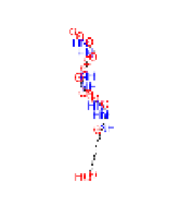 CCOCCOCCNC(=O)CC[C@@H](C)NC(=O)COCCOCCNC(=O)CC[C@@H](C)NC(=O)COCCOCCNC(=O)CC[C@@H](C)NCCCCNC(=O)CCCCCCCCCCCCCCCCC(=O)O